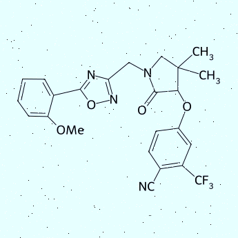 COc1ccccc1-c1nc(CN2CC(C)(C)C(Oc3ccc(C#N)c(C(F)(F)F)c3)C2=O)no1